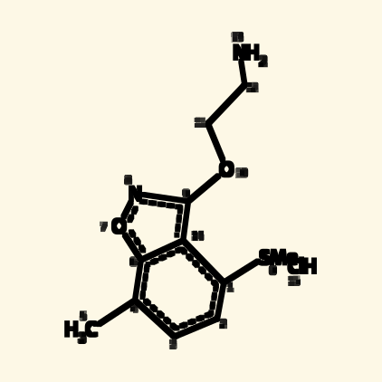 CSc1ccc(C)c2onc(OCCN)c12.Cl